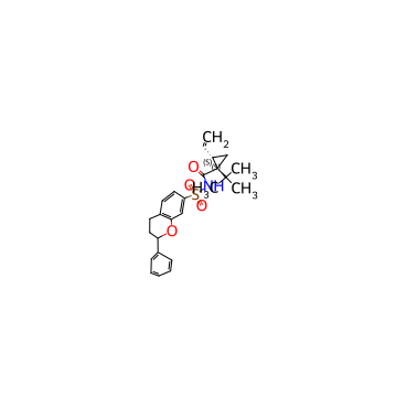 C=C[C@@H]1C[C@@]1(C(=O)NS(=O)(=O)c1ccc2c(c1)OC(c1ccccc1)CC2)C(C)(C)C